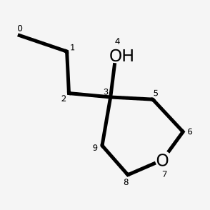 CCCC1(O)CCOCC1